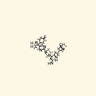 Cn1cc(-c2c[nH]c(/C(=N\C=N)N3CCN(c4ncc([C@@](C)(N)c5ccc(F)cc5)cn4)CC3)c2)cn1